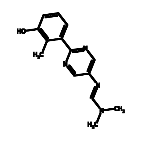 Cc1c(O)cccc1-c1ncc(N=CN(C)C)cn1